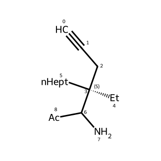 C#CC[C@](CC)(CCCCCCC)C(N)C(C)=O